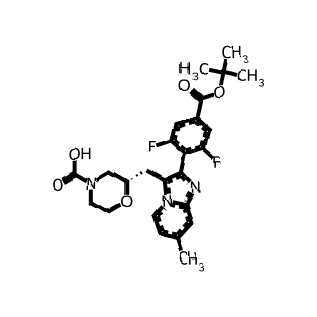 Cc1ccn2c(C[C@H]3CN(C(=O)O)CCO3)c(-c3c(F)cc(C(=O)OC(C)(C)C)cc3F)nc2c1